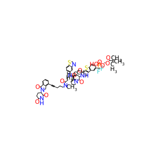 CN(CCCC#Cc1cccc2c1CN(C1CCC(=O)NC1=O)C2=O)C(=O)CCN(C(=O)[C@@H]1CCCN1C(=O)C(NC(=O)c1cc2cc(C(F)(F)P(=O)(O)OCOC(=O)C(C)(C)C)ccc2s1)C(C)(C)C)c1ccc2scnc2c1